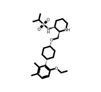 CCOc1ccc(C)c(C)c1[C@H]1CC[C@@H](OC[C@@H]2NCCC[C@@H]2NS(=O)(=O)C(C)C)CC1